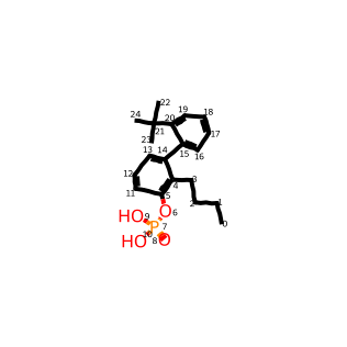 CCCCc1c(OP(=O)(O)O)cccc1-c1ccccc1C(C)(C)C